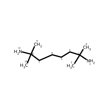 CC(C)(N)CCCCC(C)(C)N